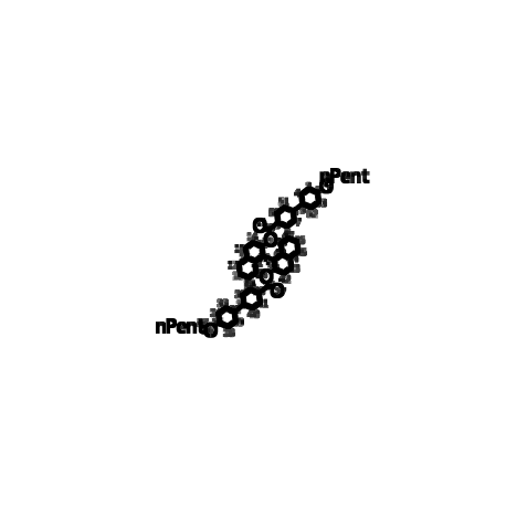 CCCCCOc1ccc(-c2ccc(C(=O)Oc3ccc4ccccc4c3-c3c(OC(=O)c4ccc(-c5ccc(OCCCCC)cc5)cc4)ccc4ccccc34)cc2)cc1